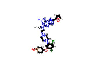 CN(CCN1CCN(c2cc(O[C@H]3CC[S@@+]([O-])CC3)c(F)cc2F)CC1)c1nc(N)n2nc(-c3ccco3)nc2n1